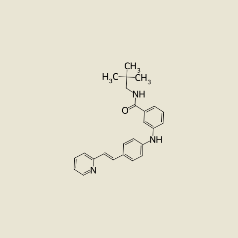 CC(C)(C)CNC(=O)c1cccc(Nc2ccc(C=Cc3ccccn3)cc2)c1